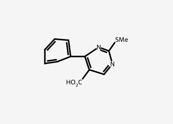 CSc1ncc(C(=O)O)c(-c2ccccc2)n1